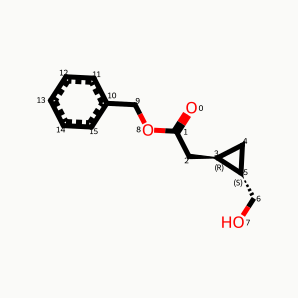 O=C(C[C@H]1C[C@@H]1CO)OCc1ccccc1